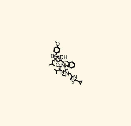 COc1ccc(S(=O)(=O)N(CC(C)C)C[C@H](O)[C@H](Cc2ccccc2)NC(=O)[C@H](C(C)C)N2CCN(Cc3csc(C4CC4)n3)C2=O)cc1